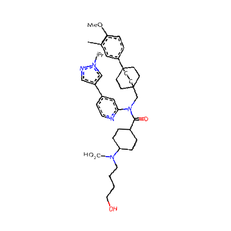 COc1ccc(C23CCC(CN(C(=O)C4CCC(N(CCCCO)C(=O)O)CC4)c4cc(-c5cnn(C(C)C)c5)ccn4)(CC2)CC3)cc1C